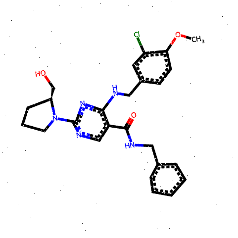 COc1ccc(CNc2nc(N3CCC[C@H]3CO)ncc2C(=O)NCc2ccccc2)cc1Cl